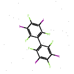 Fc1c(I)c(F)c(-c2c(F)c(I)c(F)c(I)c2F)c(F)c1I